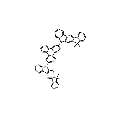 CC1(C)c2ccccc2-c2cc3c4ccccc4n(-c4ccc5c6ccc(-n7c8c(c9ccccc97)C=C7c9ccccc9C(C)(C)C7C8)cc6c6ccccc6c5c4)c3cc21